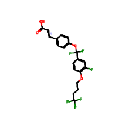 O=C(O)/C=C/c1ccc(OC(F)(F)c2ccc(OCCCC(F)(F)F)c(F)c2)cc1